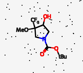 COC1(C(F)(F)F)CN(C(=O)OC(C)(C)C)CC1O